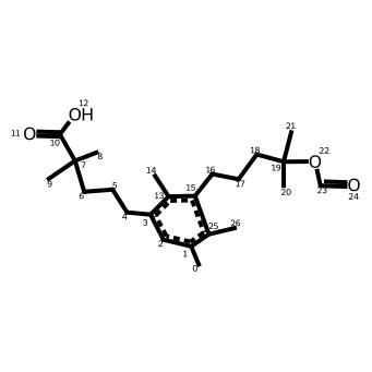 Cc1cc(CCCC(C)(C)C(=O)O)c(C)c(CCCC(C)(C)OC=O)c1C